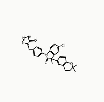 CC1(C)CCc2cc(C3(C)C(=O)N(c4ccc(Cn5nn[nH]c5=O)cc4)c4ccc(Cl)cc43)ccc2O1